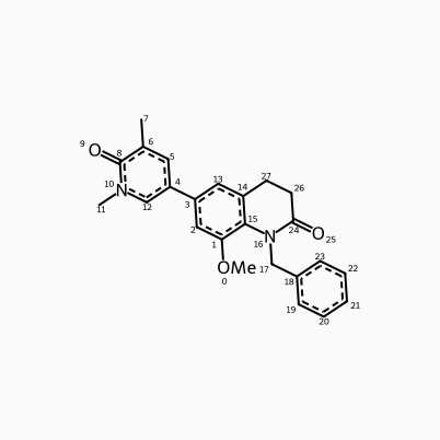 COc1cc(-c2cc(C)c(=O)n(C)c2)cc2c1N(Cc1ccccc1)C(=O)CC2